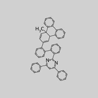 CC12C=CC(c3ccccc3-c3ccccc3-c3nc(-c4ccccc4)cc(-c4ccccc4)n3)=CC1c1ccccc1-c1ccccc12